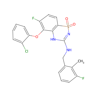 Cc1c(F)cccc1CNC1=NS(=O)(=O)c2ccc(F)c(Oc3ccccc3Cl)c2N1